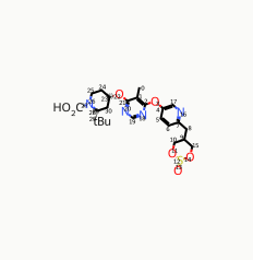 Cc1c(Oc2ccc(CC3COS(=O)OC3)nc2)ncnc1O[C@H]1CCN(C(=O)O)[C@@H](C(C)(C)C)C1